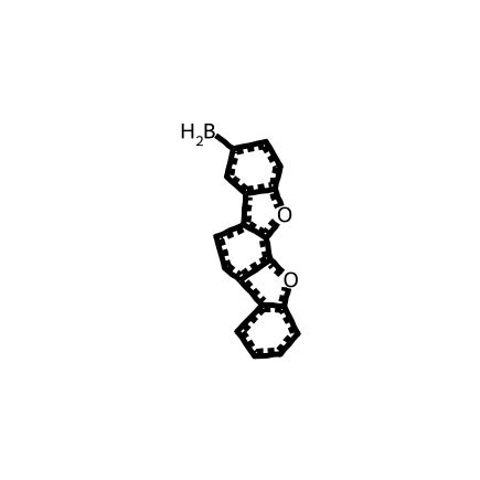 Bc1ccc2oc3c(ccc4c5ccccc5oc43)c2c1